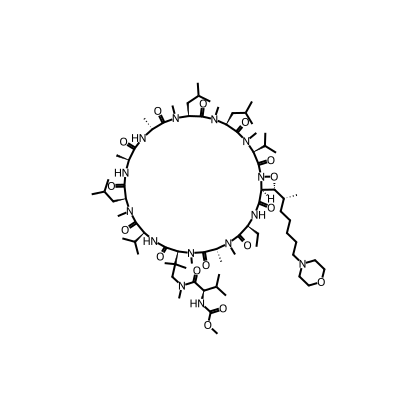 CC[C@@H]1NC(=O)[C@@H]2[C@@H]([C@H](C)CCCCCN3CCOCC3)ON2C(=O)[C@H](C(C)C)N(C)C(=O)[C@H](CC(C)C)N(C)C(=O)[C@H](CC(C)C)N(C)C(=O)[C@@H](C)NC(=O)[C@H](C)NC(=O)[C@H](CC(C)C)N(C)C(=O)[C@H](C(C)C)NC(=O)[C@H](C(C)(C)CN(C)C(=O)[C@H](NC(=O)OC)C(C)C)N(C)C(=O)[C@@H](C)N(C)C1=O